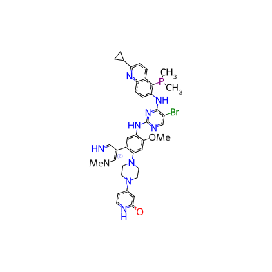 CN/C=C(\C=N)c1cc(Nc2ncc(Br)c(Nc3ccc4nc(C5CC5)ccc4c3P(C)C)n2)c(OC)cc1N1CCN(c2cc[nH]c(=O)c2)CC1